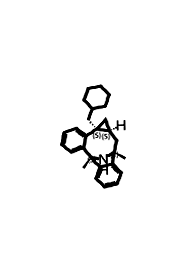 C[C@]12N[C@](C)(C[C@@H]3C[C@]3(CC3CCCCC3)c3ccccc31)c1ccccc12